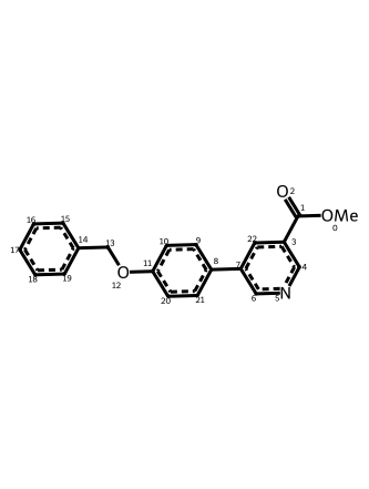 COC(=O)c1cncc(-c2ccc(OCc3ccccc3)cc2)c1